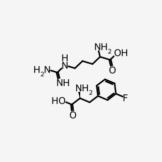 N=C(N)NCCCC(N)C(=O)O.N[C@@H](Cc1cccc(F)c1)C(=O)O